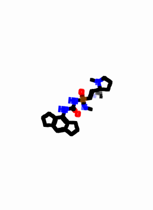 CN=S(=O)(/C=C/[C@]1(C)CCCN1C)NC(=O)Nc1c2c(cc3c1CCC3)CCC2